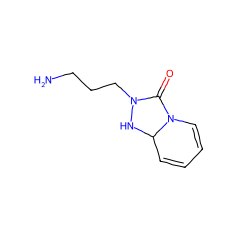 NCCCN1NC2C=CC=CN2C1=O